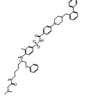 Cc1cc(S(=O)(=O)NC(=O)c2ccc(N3CCN(Cc4ccccc4-c4ccc(Cl)cc4)CC3)cc2)ccc1N[C@H](CCCCNC(=O)CN(C)C)CSc1ccccc1